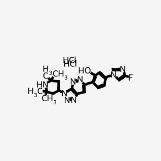 CC1(C)CC(n2nnc3cc(-c4ccc(-n5cnc(F)c5)cc4O)nnc32)CC(C)(C)N1.Cl.Cl